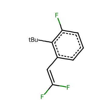 CC(C)(C)c1c(F)cccc1C=C(F)F